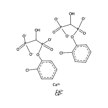 O=P([O-])([O-])C(O)P(=O)([O-])Oc1ccccc1Cl.O=P([O-])([O-])C(O)P(=O)([O-])Oc1ccccc1Cl.[Ca+2].[Ca+2].[Ca+2]